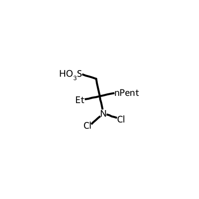 CCCCCC(CC)(CS(=O)(=O)O)N(Cl)Cl